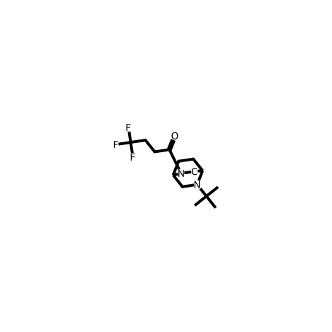 CC(C)(C)N1CC2CCC1CN2C(=O)CCC(F)(F)F